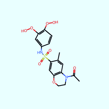 CC(=O)N1CCOc2cc(S(=O)(=O)Nc3ccc(OO)c(OO)c3)c(C)cc21